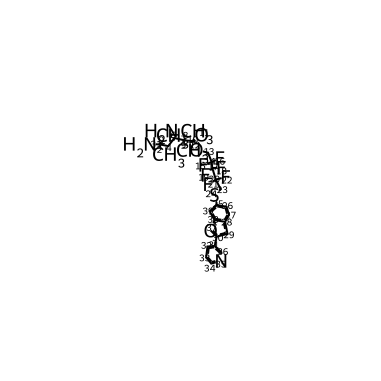 CC(C)(N)CC(N)C(C)(C)C(=O)OCC(F)(F)C(F)(F)C(F)(F)CSc1ccc2cc(-c3cccnc3)oc2c1